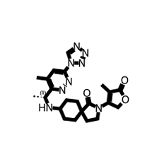 CC1=C(N2CCC3(CCC(N[C@H](C)c4nnc(-n5cnnn5)cc4C)CC3)C2=O)COC1=O